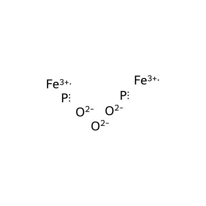 [Fe+3].[Fe+3].[O-2].[O-2].[O-2].[P].[P]